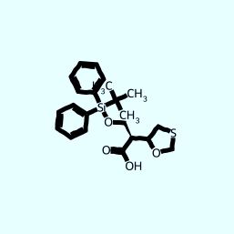 CC(C)(C)[Si](OC[C@H](C(=O)O)C1CSCO1)(c1ccccc1)c1ccccc1